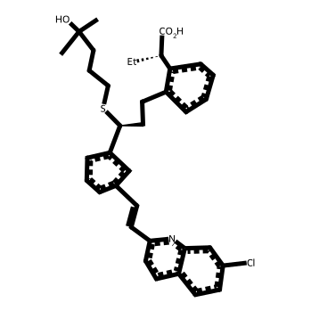 CC[C@H](C(=O)O)c1ccccc1CC[C@H](SCCCC(C)(C)O)c1cccc(C=Cc2ccc3ccc(Cl)cc3n2)c1